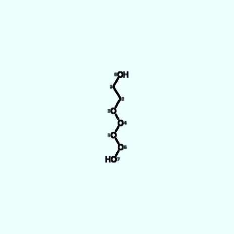 OCCOOOOO